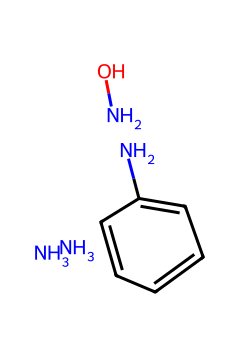 N.N.NO.Nc1ccccc1